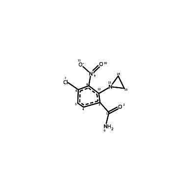 NC(=O)c1ccc(Cl)c([N+](=O)[O-])c1N1CC1